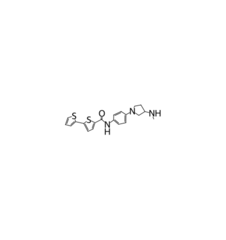 CNC1CCN(c2ccc(NC(=O)c3ccc(-c4cccs4)s3)cc2)C1